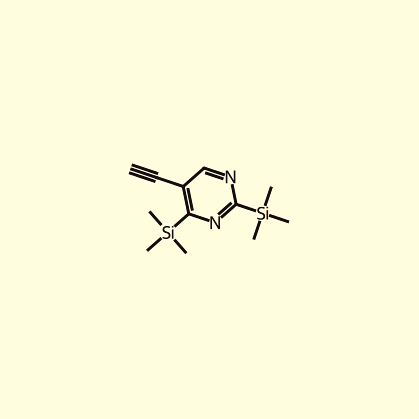 C#Cc1cnc([Si](C)(C)C)nc1[Si](C)(C)C